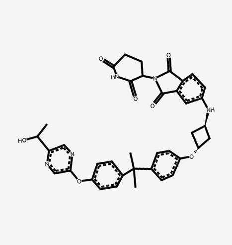 CC(O)c1cnc(Oc2ccc(C(C)(C)c3ccc(O[C@H]4C[C@H](Nc5ccc6c(c5)C(=O)N(C5CCC(=O)NC5=O)C6=O)C4)cc3)cc2)cn1